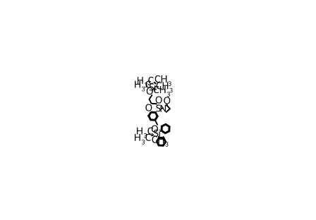 CC(C)(C)[Si](C)(C)OCCC(Oc1ccc(CO[Si](c2ccccc2)(c2ccccc2)C(C)(C)C)cc1)C(=O)SN1CCC1=O